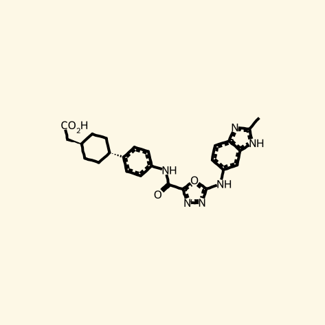 Cc1nc2ccc(Nc3nnc(C(=O)Nc4ccc([C@H]5CC[C@H](CC(=O)O)CC5)cc4)o3)cc2[nH]1